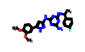 COc1ccc(-c2cc(Nc3nc(N)nc(NC(C)c4ccc(F)cc4)n3)n[nH]2)cc1OC